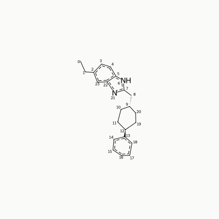 CCc1ccc2[nH]c(C[C@H]3CC[C@H](c4ccccc4)CC3)nc2c1